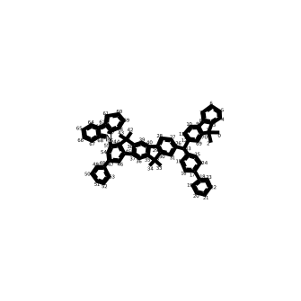 CC1(C)c2ccccc2-c2ccc(C(c3ccc(-c4ccccc4)cc3)c3ccc4c(c3)C(C)(C)c3cc5c(cc3-4)C(C)(C)c3c-5cc(-c4ccccc4)cc3-n3c4ccccc4c4ccccc43)cc21